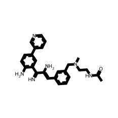 CC(=O)NCCN(C)Cc1cccc(/C=C(\N)C(=N)c2cc(-c3cccnc3)ccc2N)c1